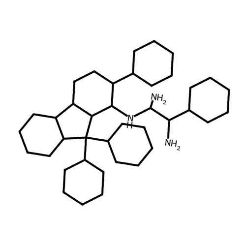 NC(NC1C(C2CCCCC2)CCC2C3CCCCC3C(C3CCCCC3)(C3CCCCC3)C21)C(N)C1CCCCC1